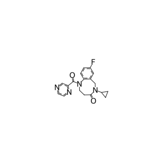 O=C(c1cnccn1)N1CCC(=O)N(C2CC2)Cc2cc(F)ccc21